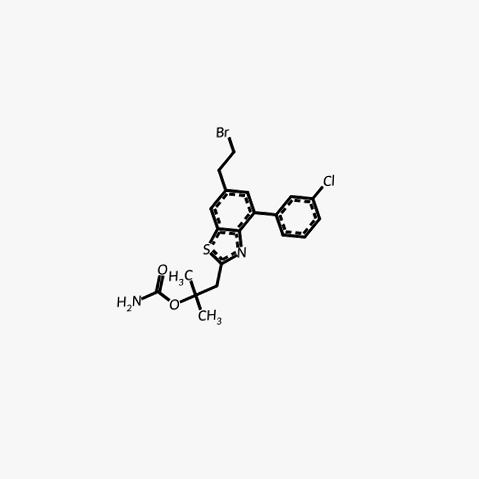 CC(C)(Cc1nc2c(-c3cccc(Cl)c3)cc(CCBr)cc2s1)OC(N)=O